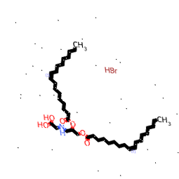 Br.CCCCCCCC/C=C\CCCCCCCC(=O)OCC(CNCC(O)O)OC(=O)CCCCCCC/C=C\CCCCCCCC